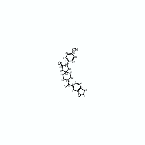 C[C@H](c1ccc2c(c1)OCC2)N1CCC2(CC1)CC(=O)N(c1ccc(C#N)cc1)C2